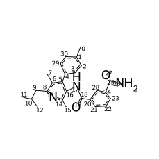 Cc1ccc(-c2c(C)c(CC(C)C)nc(C)c2NC(=O)c2cccc(C(N)=O)c2)cc1